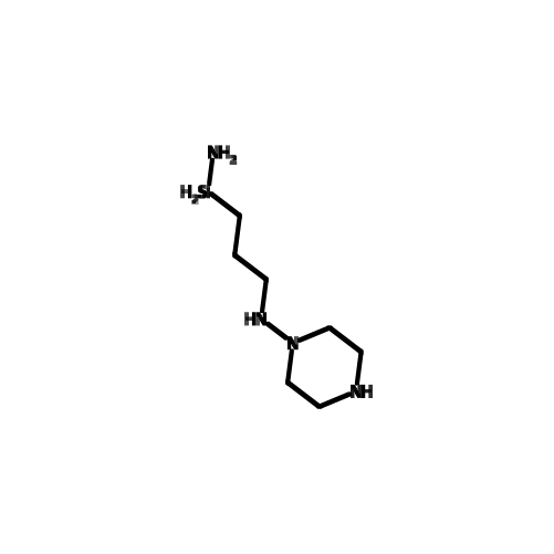 N[SiH2]CCCNN1CCNCC1